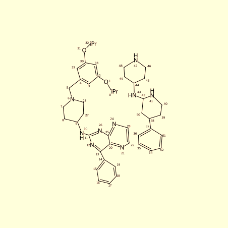 CC(C)Oc1cc(CN2CCC(Nc3nc(-c4ccccc4)c4nccnc4n3)CC2)cc(OC(C)C)c1.c1ccc(C2CCNC(NC3CCNCC3)C2)cc1